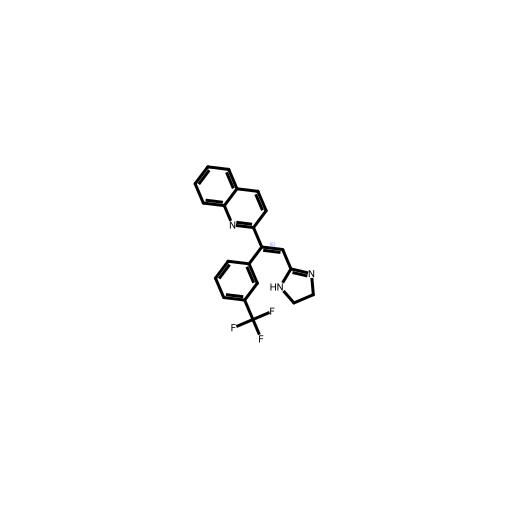 FC(F)(F)c1cccc(/C(=C\C2=NCCN2)c2ccc3ccccc3n2)c1